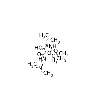 CCN(CC)CCNC(=O)C[C@H](O)[C@H](CC(C)C)NC(=O)OC(C)(C)C